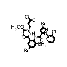 Bc1cc(Br)cc(C(=O)NN(CC=C(Cl)Cl)C(=O)OC)c1NC(=O)c1cc(Br)nn1-c1ncccc1Cl